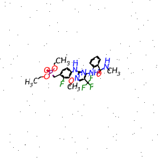 CCOP(=O)(Cc1ccc(Nc2ncc(C(F)(F)F)c(Nc3ccccc3C(=O)NC)n2)c(OC)c1F)OCC